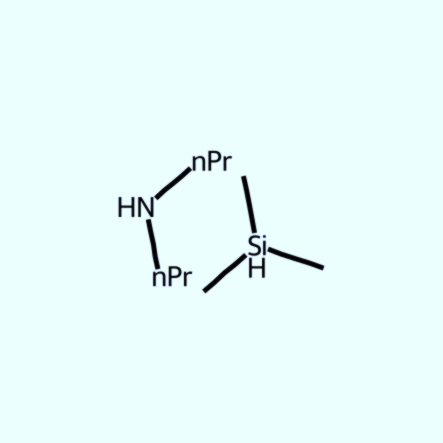 CCCNCCC.C[SiH](C)C